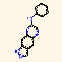 c1ccc(Nc2cnc3cc4cn[nH]c4cc3n2)cc1